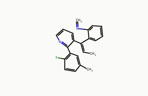 C=Nc1ccccc1/C(=C\C)c1cccnc1-c1cc(C)ccc1F